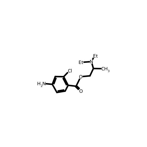 CCN(CC)C(C)COC(=O)c1ccc(N)cc1Cl